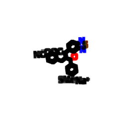 CSc1ccc(C(=O)C(Cc2ccc(C#N)cc2)=C(C(=O)[O-])c2ccc3nsnc3c2)cc1.[Na+]